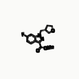 COC(=O)c1nn(CC2CCOC2)c2cc(F)ccc12